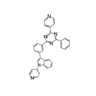 c1ccc(-c2nc(-c3ccncc3)nc(-c3cccc(-c4cn(-c5ccncc5)c5ccccc45)c3)n2)cc1